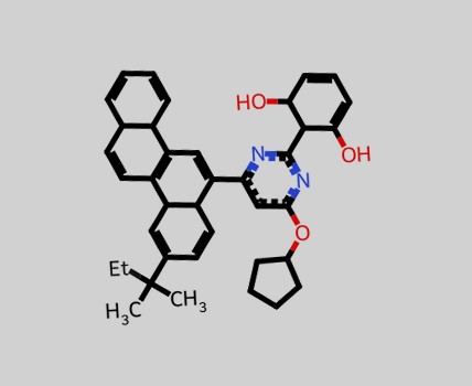 CCC(C)(C)C1=CC2C3=C(C=C(c4cc(OC5CCCC5)nc(C5C(O)=CC=CC5O)n4)C2C=C1)C1C=CC=CC1C=C3